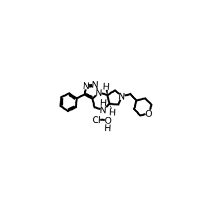 OCl.c1ccc(-c2nnn3c2CN[C@@H]2CN(CC4CCOCC4)C[C@H]23)cc1